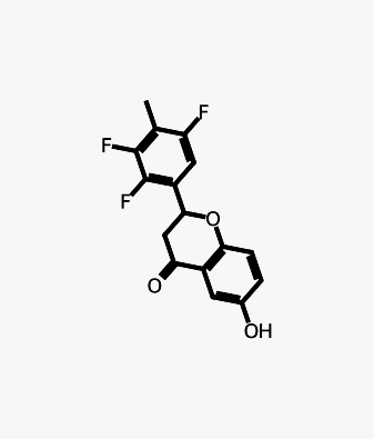 Cc1c(F)cc(C2CC(=O)c3cc(O)ccc3O2)c(F)c1F